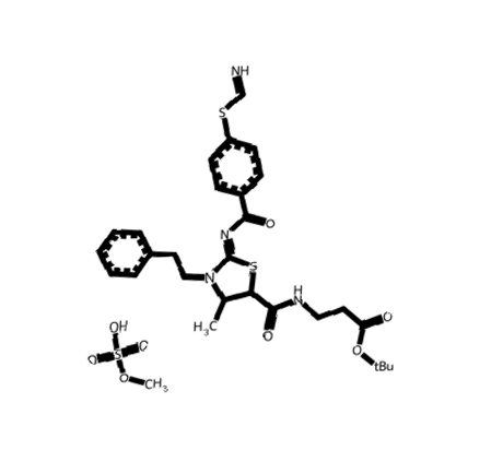 CC1C(C(=O)NCCC(=O)OC(C)(C)C)SC(=NC(=O)c2ccc(SC=N)cc2)N1CCc1ccccc1.COS(=O)(=O)O